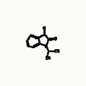 N#CC(C#N)N1C(=O)C(=O)c2ccccc21